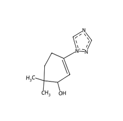 CC1(C)CCC(n2cncn2)=CC1O